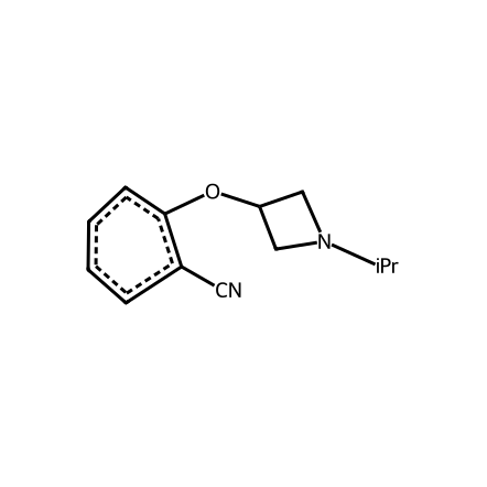 CC(C)N1CC(Oc2ccccc2C#N)C1